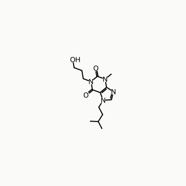 CC(C)CCn1cnc2c1c(=O)n(CCCO)c(=O)n2C